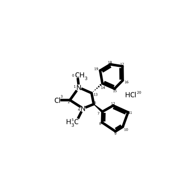 CN1C(Cl)N(C)[C@H](c2ccccc2)[C@H]1c1ccccc1.Cl